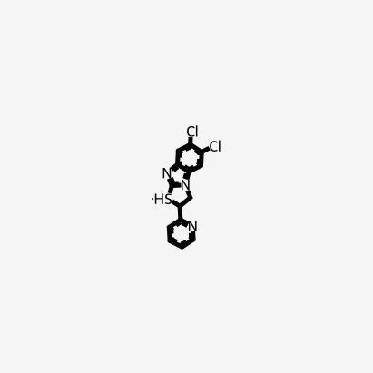 Clc1cc2nc3n(c2cc1Cl)CC(c1ccccn1)[SH]3